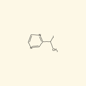 CC(I)c1cnccn1